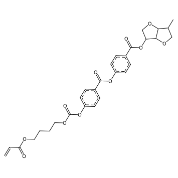 C=CC(=O)OCCCCOC(=O)Oc1ccc(C(=O)Oc2ccc(C(=O)OC3COC4C(C)COC34)cc2)cc1